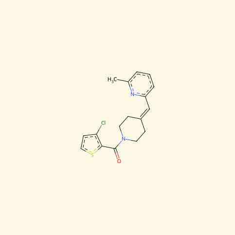 Cc1cccc(C=C2CCN(C(=O)c3sccc3Cl)CC2)n1